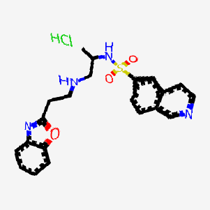 CC(CNCCc1nc2ccccc2o1)NS(=O)(=O)c1ccc2cnccc2c1.Cl